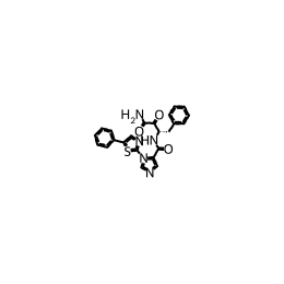 NC(=O)C(=O)[C@H](Cc1ccccc1)NC(=O)c1cncn1-c1ncc(-c2ccccc2)s1